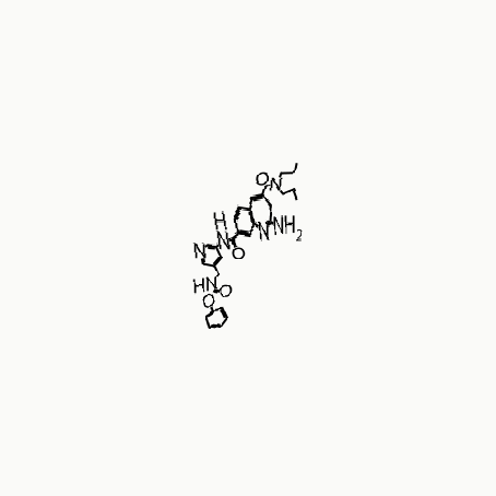 CCCN(CCC)C(=O)C1=Cc2ccc(C(=O)Nc3cncc(CNC(=O)Oc4ccccc4)c3)cc2N=C(N)C1